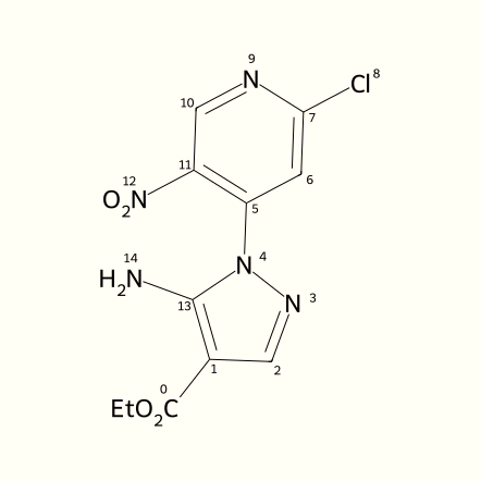 CCOC(=O)c1cnn(-c2cc(Cl)ncc2[N+](=O)[O-])c1N